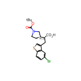 CC(C)(C)OC(=O)N1CC[C@H]([C@H](Cc2csc3ccc(Br)cc23)C(=O)O)C1